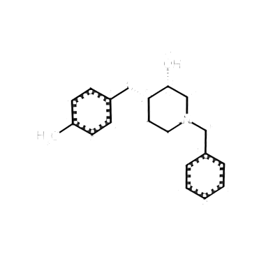 Cc1ccc(C[C@H]2CCN(Cc3ccccc3)C[C@H]2O)cc1